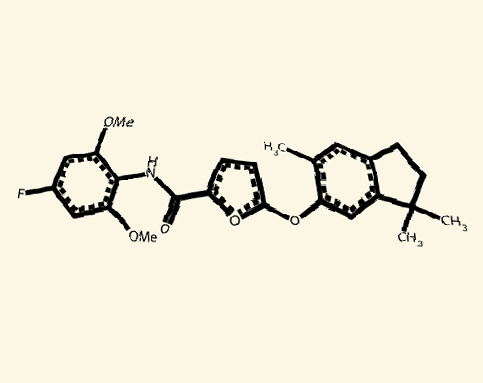 COc1cc(F)cc(OC)c1NC(=O)c1ccc(Oc2cc3c(cc2C)CCC3(C)C)o1